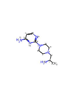 CC(N)CN1CCN(c2nccc(N)n2)CC1